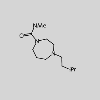 CNC(=O)N1CCCN(CCC(C)C)CC1